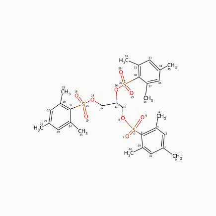 Cc1cc(C)c(S(=O)(=O)OCC(COS(=O)(=O)c2c(C)cc(C)cc2C)OS(=O)(=O)c2c(C)cc(C)cc2C)c(C)c1